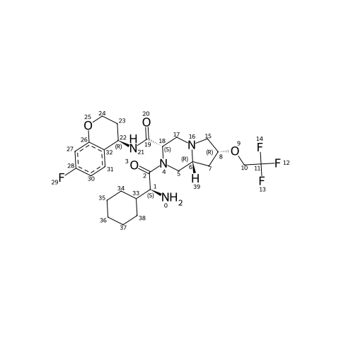 N[C@H](C(=O)N1C[C@H]2C[C@@H](OCC(F)(F)F)CN2C[C@H]1C(=O)N[C@@H]1CCOc2cc(F)ccc21)C1CCCCC1